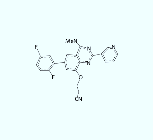 CNc1nc(-c2cccnc2)nc2c(OCCC#N)cc(-c3cc(F)ccc3F)cc12